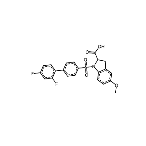 COc1ccc2c(c1)CC(C(=O)O)N2S(=O)(=O)c1ccc(-c2ccc(F)cc2F)cc1